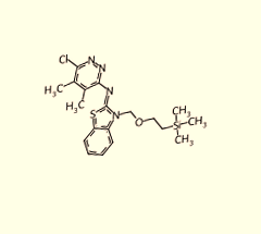 Cc1c(Cl)nnc(/N=c2\sc3ccccc3n2COCC[Si](C)(C)C)c1C